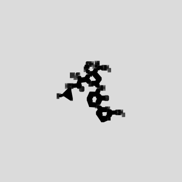 C=NN1C(NC)=CC(Nc2cccn(-c3ccnc(C)n3)c2=O)=N/C1=C(/C)C(=O)N[C@@H]1C[C@@H]1F